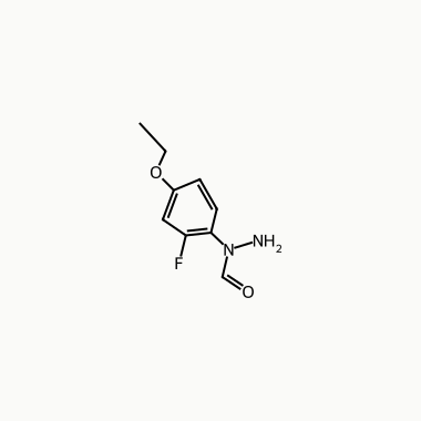 CCOc1ccc(N(N)C=O)c(F)c1